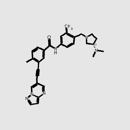 Cc1ccc(C(=O)Nc2ccc(CN3CC[C@H](N(C)C)C3)c(C(F)(F)F)c2)cc1C#Cc1cnc2ccnn2c1